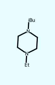 CCC(C)N1CCN(CC)CC1